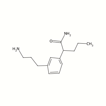 CCCC(C(N)=O)c1cccc(CCCN)c1